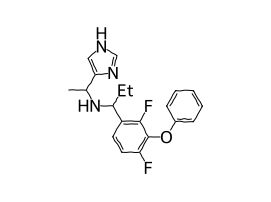 CCC(NC(C)c1c[nH]cn1)c1ccc(F)c(Oc2ccccc2)c1F